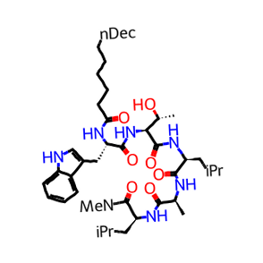 CCCCCCCCCCCCCCCC(=O)N[C@@H](Cc1c[nH]c2ccccc12)C(=O)N[C@H](C(=O)N[C@@H](CC(C)C)C(=O)N[C@@H](C)C(=O)N[C@@H](CC(C)C)C(=O)NC)[C@@H](C)O